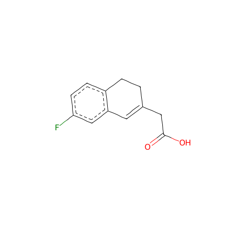 O=C(O)CC1=Cc2cc(F)ccc2CC1